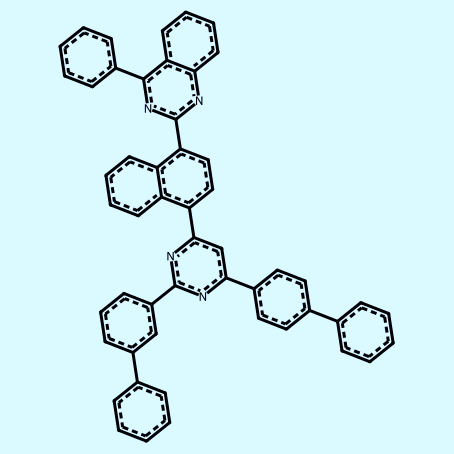 c1ccc(-c2ccc(-c3cc(-c4ccc(-c5nc(-c6ccccc6)c6ccccc6n5)c5ccccc45)nc(-c4cccc(-c5ccccc5)c4)n3)cc2)cc1